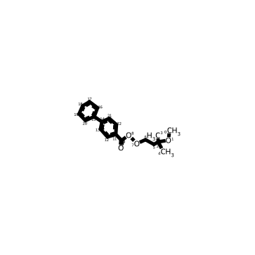 COC(C)(C)C[CH]OOC(=O)c1ccc(-c2ccccc2)cc1